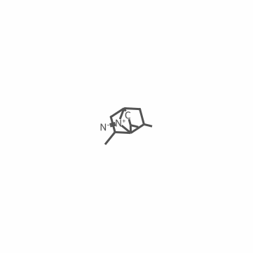 CC1CC23CC(C)C1(C(C)C2)[N+]3=[N-]